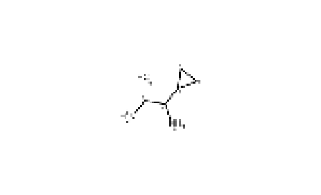 Cl.NCC(N)C1CC1